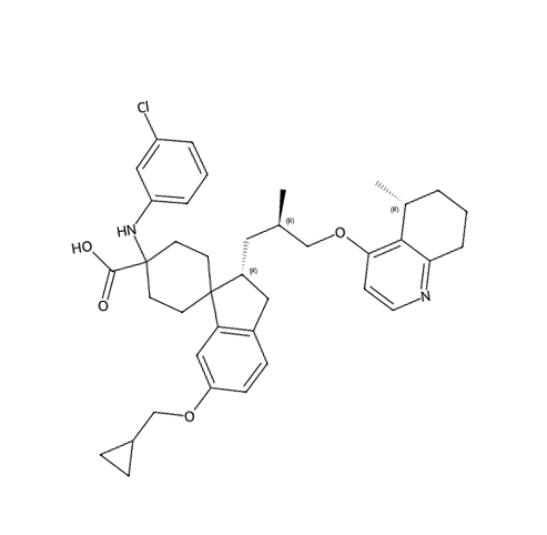 C[C@@H](COc1ccnc2c1[C@H](C)CCC2)C[C@@H]1Cc2ccc(OCC3CC3)cc2C12CCC(Nc1cccc(Cl)c1)(C(=O)O)CC2